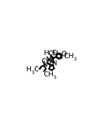 CCCC(CCC)N(C)c1c2c(nc3c(-c4ccc(OC)cc4C)c(C)nn13)CCC2